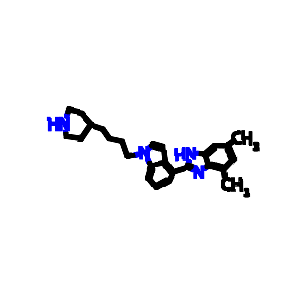 Cc1cc(C)c2nc(-c3cccc4c3ccn4CCCCC3CCNCC3)[nH]c2c1